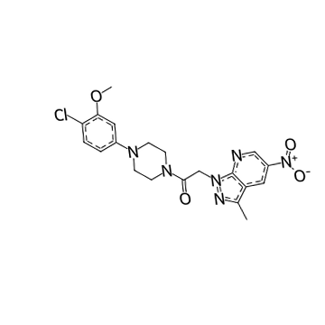 COc1cc(N2CCN(C(=O)Cn3nc(C)c4cc([N+](=O)[O-])cnc43)CC2)ccc1Cl